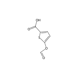 O=COc1ccc(C(=O)O)s1